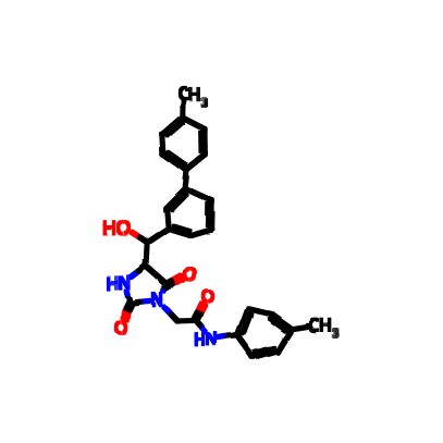 Cc1ccc(NC(=O)CN2C(=O)NC(C(O)c3cccc(-c4ccc(C)cc4)c3)C2=O)cc1